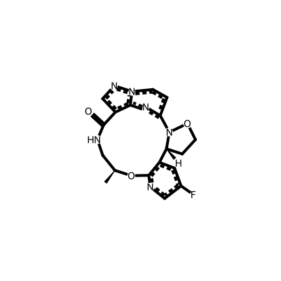 C[C@H]1CNC(=O)c2cnn3ccc(nc23)N2OCC[C@@H]2c2cc(F)cnc2O1